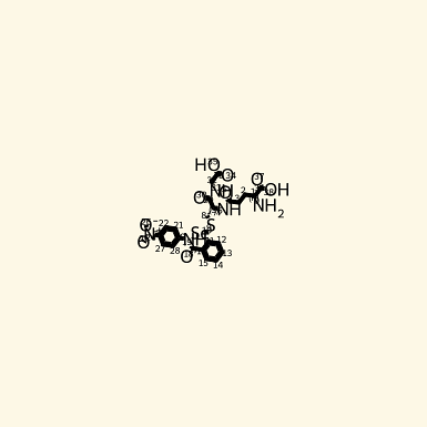 N[C@H](CCC(=O)N[C@H](CS[Se]c1ccccc1C(=O)Nc1ccc([N+](=O)[O-])cc1)C(=O)NCC(=O)O)C(=O)O